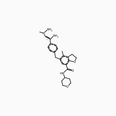 Cc1c(Cc2ccc(/C(N)=C/N(C)N)cc2)cc(C(=O)NC2CCOCC2)c2c1CCO2